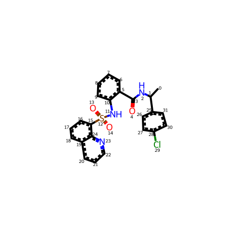 CC(NC(=O)c1ccccc1NS(=O)(=O)c1cccc2cccnc12)c1ccc(Cl)cc1